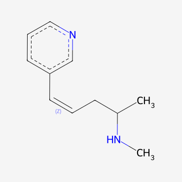 CNC(C)C/C=C\c1cccnc1